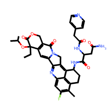 CCC1(OC(C)C)C(=O)OCc2c1cc1n(c2=O)Cc2c-1nc1cc(F)c(C)c3c1c2C(NC(=O)C(CC(N)=O)NC(=O)Cc1ccncc1)CC3